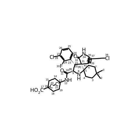 CC1(C)CCC2(CC1)N[C@@H](C(=O)NC13CCC(C(=O)O)(CC1)CC3)[C@H](c1cccc(Cl)c1F)[C@]21C(=O)Nc2cc(Cl)ccc21